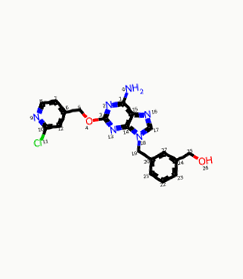 Nc1nc(OCc2ccnc(Cl)c2)nc2c1ncn2Cc1cccc(CO)c1